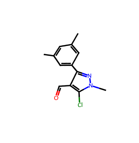 Cc1cc(C)cc(-c2nn(C)c(Cl)c2C=O)c1